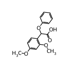 COc1ccc(C(Oc2ccccc2)C(=O)O)c(OC)c1